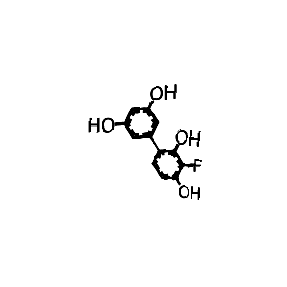 Oc1cc(O)cc(-c2ccc(O)c(F)c2O)c1